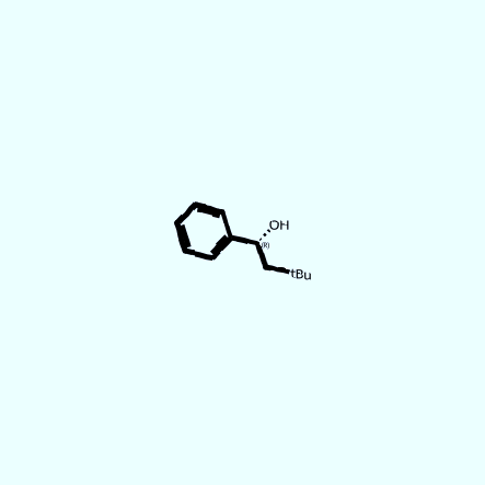 CC(C)(C)C[C@@H](O)c1ccccc1